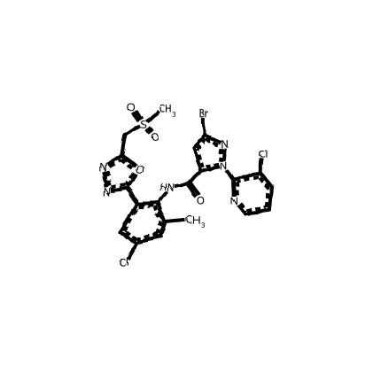 Cc1cc(Cl)cc(-c2nnc(CS(C)(=O)=O)o2)c1NC(=O)c1cc(Br)nn1-c1ncccc1Cl